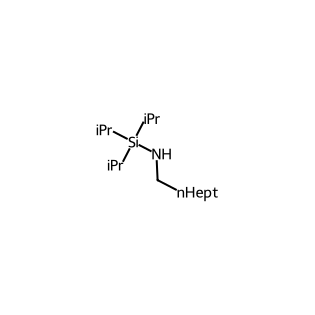 CCCCCCCCN[Si](C(C)C)(C(C)C)C(C)C